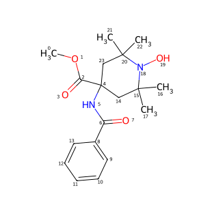 COC(=O)C1(NC(=O)c2ccccc2)CC(C)(C)N(O)C(C)(C)C1